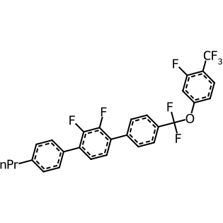 CCCc1ccc(-c2ccc(-c3ccc(C(F)(F)Oc4ccc(C(F)(F)F)c(F)c4)cc3)c(F)c2F)cc1